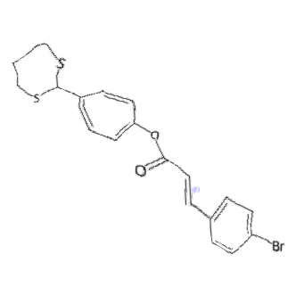 O=C(/C=C/c1ccc(Br)cc1)Oc1ccc(C2SCCCS2)cc1